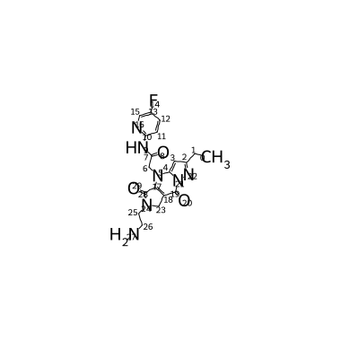 CCc1cc2n(CC(=O)Nc3ccc(F)cn3)c3c(c(=O)n2n1)CN(CCN)C3=O